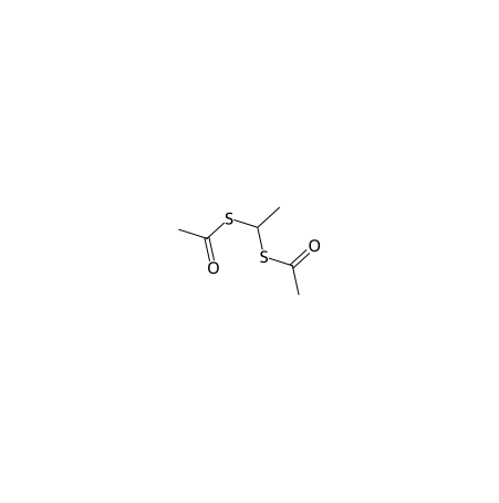 CC(=O)SC(C)SC(C)=O